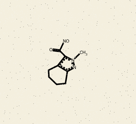 Cn1nc2c(c1C(=O)N=O)CCCC2